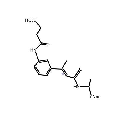 CCCCCCCCCC(C)NC(=O)/C=C(\C)c1cccc(NC(=O)CCC(=O)O)c1